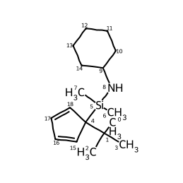 CC(C)(C)C1([Si](C)(C)NC2CCCCC2)C=CC=C1